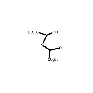 CCOC(=O)C(O)SC(O)C(=O)OCC